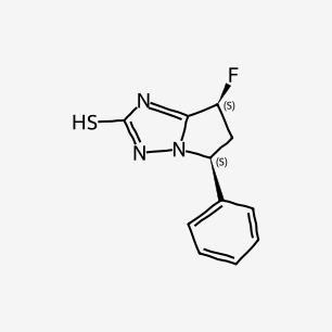 F[C@H]1C[C@@H](c2ccccc2)n2nc(S)nc21